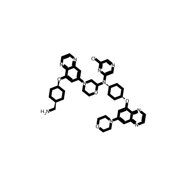 NC[C@H]1CC[C@@H](Oc2cc(N3CCOC(N(c4cncc(Cl)n4)[C@H]4CC[C@@H](Oc5cc(N6CCOCC6)cc6nccnc56)CC4)C3)cc3nccnc23)CC1